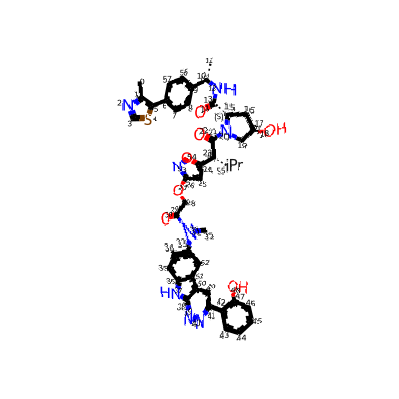 Cc1ncsc1-c1ccc([C@H](C)NC(=O)[C@@H]2C[C@@H](O)CN2C(=O)[C@@H](c2cc(OCC(=O)N(C)c3ccc4[nH]c5nnc(-c6ccccc6O)cc5c4c3)no2)C(C)C)cc1